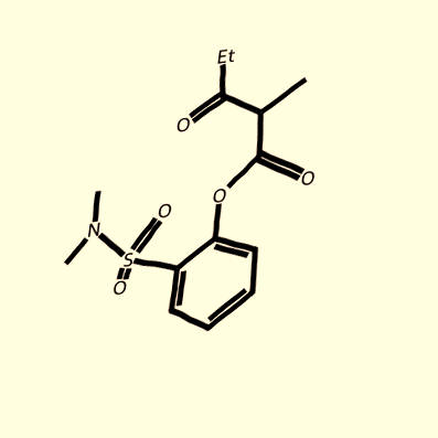 CCC(=O)C(C)C(=O)Oc1ccccc1S(=O)(=O)N(C)C